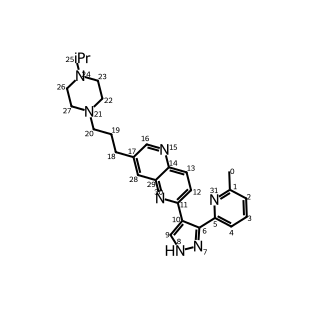 Cc1cccc(-c2n[nH]cc2-c2ccc3ncc(CCCN4CCN(C(C)C)CC4)cc3n2)n1